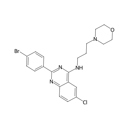 Clc1ccc2nc(-c3ccc(Br)cc3)nc(NCCCN3CCOCC3)c2c1